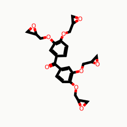 O=C(c1ccc(OCC2CO2)c(OCC2CO2)c1)c1ccc(OCC2CO2)c(OCC2CO2)c1